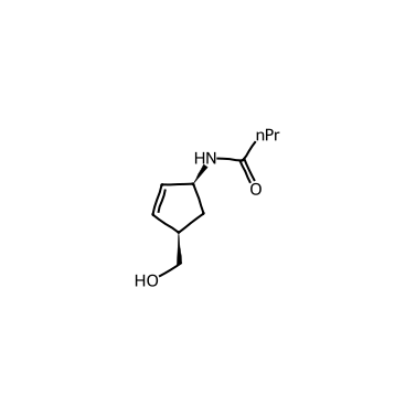 CCCC(=O)N[C@@H]1C=C[C@H](CO)C1